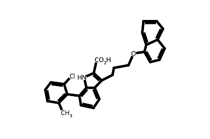 Cc1cccc(Cl)c1-c1cccc2c(CCCOc3cccc4ccccc34)c(C(=O)O)[nH]c12